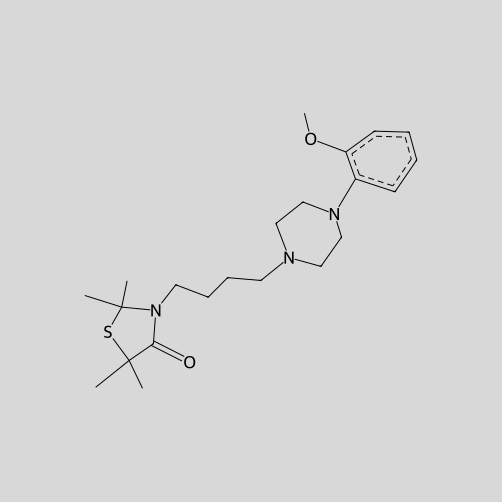 COc1ccccc1N1CCN(CCCCN2C(=O)C(C)(C)SC2(C)C)CC1